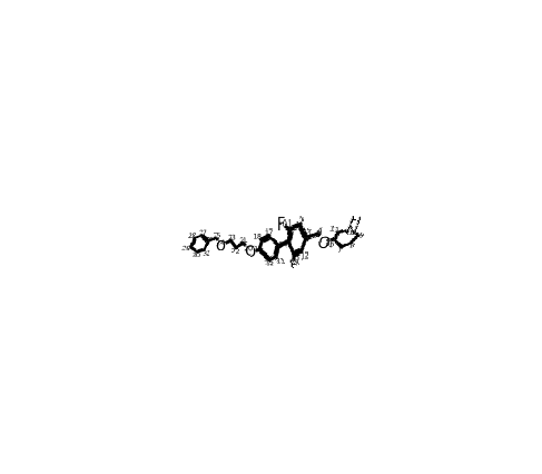 Fc1cc(COC2CCCNC2)cc(F)c1-c1ccc(OCCCOCc2ccccc2)cc1